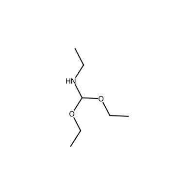 CCNC(OCC)OCC